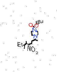 CC/C(C)=C(C)/C(=C\C=C(/C)N1CCN(C(=O)OC(C)(C)C)CC1)[N+](=O)[O-]